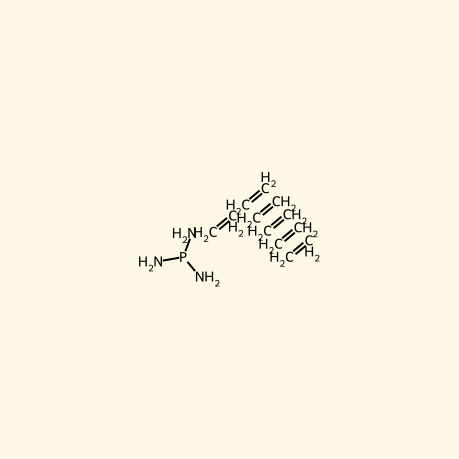 C=C.C=C.C=C.C=C.C=C.C=C.NP(N)N